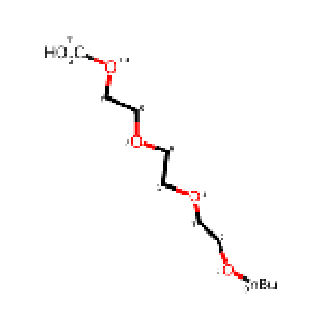 CCCCOCCOCCOCCOC(=O)O